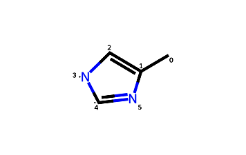 CC1=C[N][C]=N1